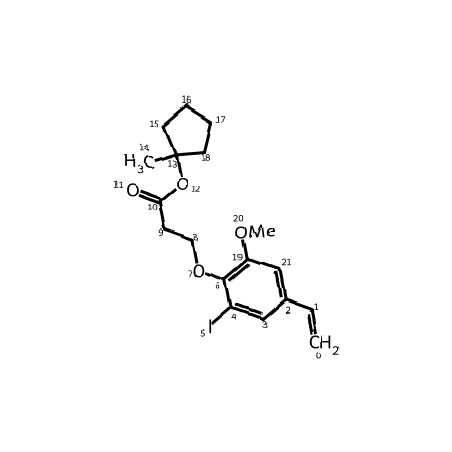 C=Cc1cc(I)c(OCCC(=O)OC2(C)CCCC2)c(OC)c1